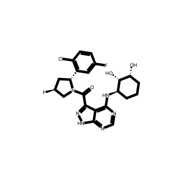 O=C(c1n[nH]c2ncnc(N[C@@H]3CCC[C@@H](O)[C@H]3O)c12)N1C[C@@H](F)C[C@@H]1c1cc(F)ccc1Cl